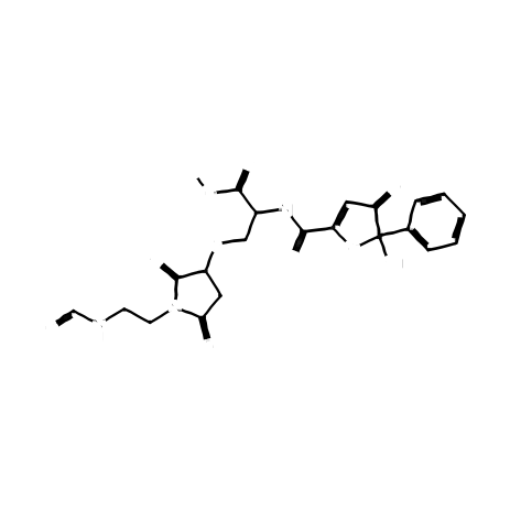 COC(=O)C(CSC1CC(=O)N(CCNC=O)C1=O)NC(=O)C1=CC(=O)C(C)(c2ccccc2)O1